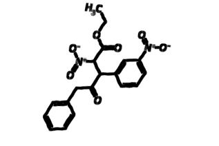 CCOC(=O)C(C(C(=O)Cc1ccccc1)c1cccc([N+](=O)[O-])c1)[N+](=O)[O-]